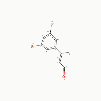 C/C(=C\C=O)c1cc(Br)cc(Br)c1